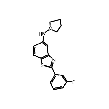 Fc1cccc(-c2nc3cc(NN4CCCC4)ccc3s2)c1